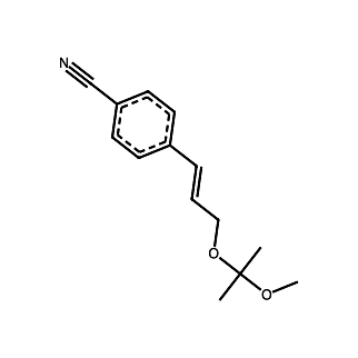 COC(C)(C)OCC=Cc1ccc(C#N)cc1